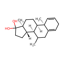 CC1CC2=CCC=C[C@]2(C)[C@@H]2CC[C@@]3(C)[C@@H](CCC3(O)O)[C@H]12